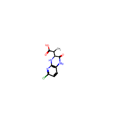 CC(C(=O)O)C1Nc2nc(Cl)ccc2NC1=O